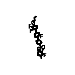 CCCOc1ccc(-c2ccc(C3=CCC(C(=O)Oc4ccc(C)c(F)c4F)CC3)c(F)c2)c(F)c1F